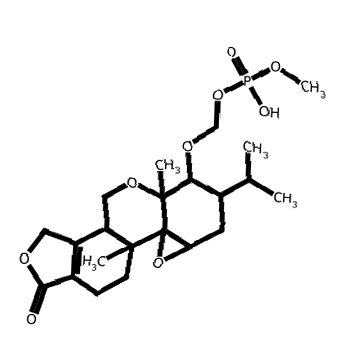 COP(=O)(O)OCOC1C(C(C)C)CC2OC23C2(C)CCC4=C(COC4=O)C2COC13C